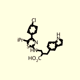 CC(C)c1sc(NCC(Cc2ccc3[nH]ccc3c2)C(=O)O)nc1-c1ccc(Cl)cc1